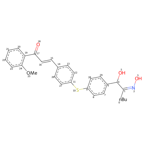 CCCC/C(=N/O)C(O)c1ccc(Sc2ccc(/C=C/C(=O)c3ccccc3OC)cc2)cc1